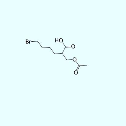 CC(=O)OCC(CCCCBr)C(=O)O